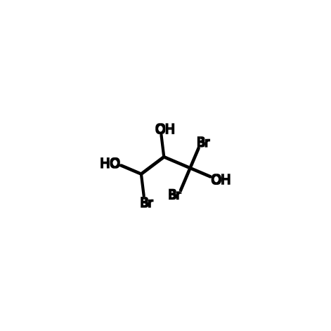 OC(Br)C(O)C(O)(Br)Br